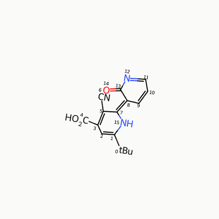 CC(C)(C)C1=CC(C(=O)O)=C(C#N)C(=C2C=CC=NC2=O)N1